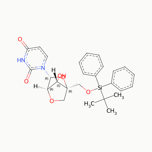 CC(C)(C)[Si](OC[C@@]12CO[C@@H]([C@H](n3ccc(=O)[nH]c3=O)O1)[C@@H]2O)(c1ccccc1)c1ccccc1